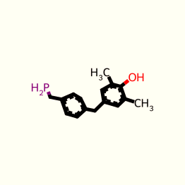 Cc1cc(Cc2ccc(CP)cc2)cc(C)c1O